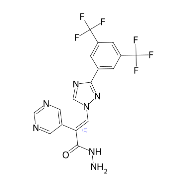 NNC(=O)/C(=C/n1cnc(-c2cc(C(F)(F)F)cc(C(F)(F)F)c2)n1)c1cncnc1